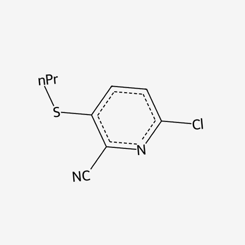 CCCSc1ccc(Cl)nc1C#N